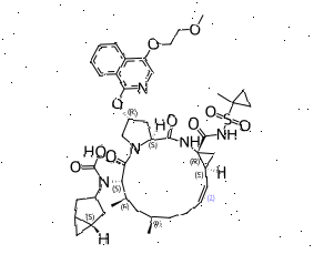 COCCOc1cnc(O[C@@H]2C[C@H]3C(=O)N[C@]4(C(=O)NS(=O)(=O)C5(C)CC5)C[C@H]4/C=C\CC[C@@H](C)C[C@@H](C)[C@H](N(C(=O)O)C4CC5C[C@H]5C4)C(=O)N3C2)c2ccccc12